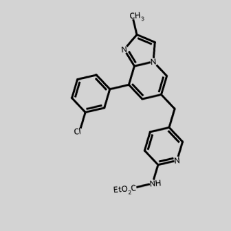 CCOC(=O)Nc1ccc(Cc2cc(-c3cccc(Cl)c3)c3nc(C)cn3c2)cn1